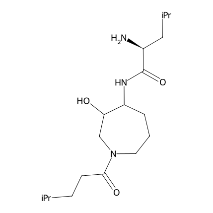 CC(C)CCC(=O)N1CCCC(NC(=O)[C@@H](N)CC(C)C)C(O)C1